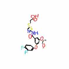 COC[C@H](C)Oc1cc(Oc2ccc(F)c(F)c2)cc(C(=O)Nc2ncc(SCCC(=O)O)s2)c1